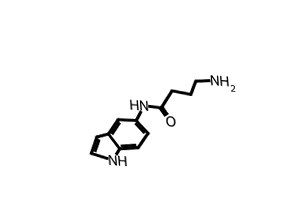 NCCCC(=O)Nc1ccc2[nH]ccc2c1